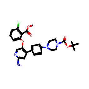 COC(=O)c1c(Cl)cccc1Oc1cnc(N)cc1-c1ccc(N2CCN(C(=O)OC(C)(C)C)CC2)cc1